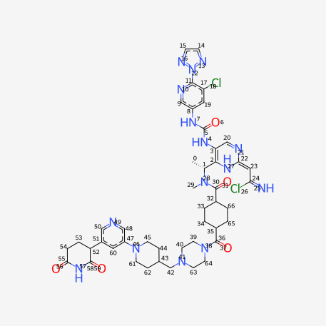 C[C@H](C1=C(NC(=O)Nc2cnc(-n3nccn3)c(Cl)c2)C=N/C(=C/C(=N)Cl)N1)N(C)C(=O)C1CCC(C(=O)N2CCN(CC3CCN(c4cncc(C5CCC(=O)NC5=O)c4)CC3)CC2)CC1